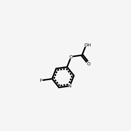 O=C(O)Oc1cncc(F)c1